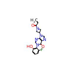 C=CC(=O)N1CC(n2cnc3c(=O)n(-c4c(O)cccc4F)cnc32)C1